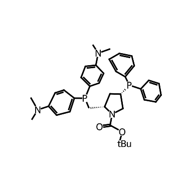 CN(C)c1ccc(P(C[C@@H]2C[C@H](P(c3ccccc3)c3ccccc3)CN2C(=O)OC(C)(C)C)c2ccc(N(C)C)cc2)cc1